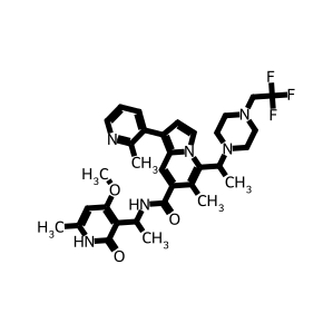 COc1cc(C)[nH]c(=O)c1C(C)NC(=O)c1cc2c(-c3cccnc3C)ccn2c(C(C)N2CCN(CC(F)(F)F)CC2)c1C